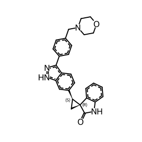 O=C1Nc2ccccc2[C@]12C[C@H]2c1ccc2c(-c3ccc(CN4CCOCC4)cc3)n[nH]c2c1